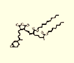 CCCCCCCCCCOC(=O)C(CCCC(C)C(=O)OCCCCCCCC)CCCC1C(=O)OC(=O)C1CCCC(C)C1CCC2OC2C1